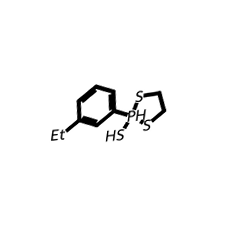 CCc1cccc([PH]2(S)SCCS2)c1